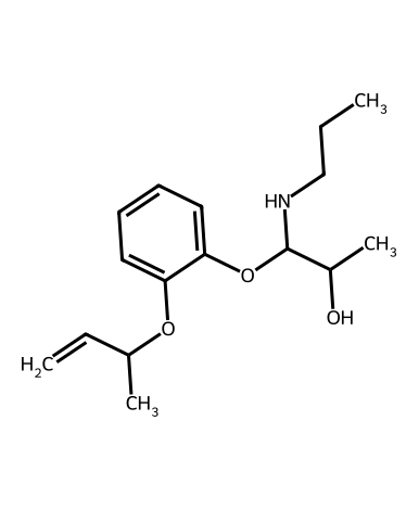 C=CC(C)Oc1ccccc1OC(NCCC)C(C)O